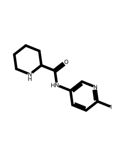 O=C(Nc1ccc(I)nc1)C1CCCCN1